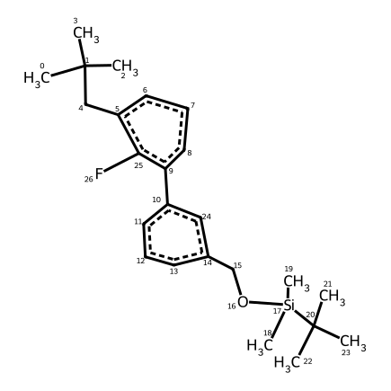 CC(C)(C)Cc1cccc(-c2cccc(CO[Si](C)(C)C(C)(C)C)c2)c1F